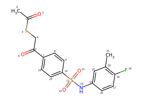 CC(=O)SCC(=O)c1ccc(S(=O)(=O)Nc2ccc(F)c(C)c2)cc1